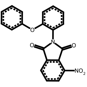 O=C1c2cccc([N+](=O)[O-])c2C(=O)N1c1ccccc1Oc1ccccc1